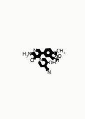 CN1c2ccc(-c3cnc(N)c(Cl)c3N3CCC(C#N)[C@H](O)C3)cc2CS1(=O)=O